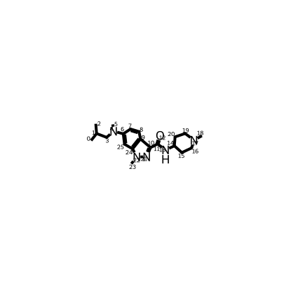 CC(C)CN(C)c1ccc2c(C(=O)NC3CCN(C)CC3)nn(C)c2c1